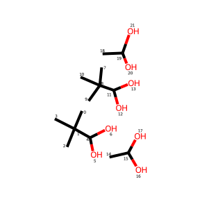 CC(C)(C)C(O)O.CC(C)(C)C(O)O.CC(O)O.CC(O)O